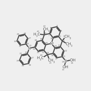 CC1(C)c2cccc3c2N2c4c1cc(B(O)O)cc4C(C)(C)c1cc(N(c4ccccc4)c4ccccc4)cc(c12)C3(C)C